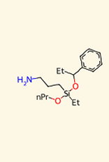 CCCO[Si](CC)(CCCN)OC(CC)c1ccccc1